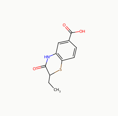 CCC1Sc2ccc(C(=O)O)cc2NC1=O